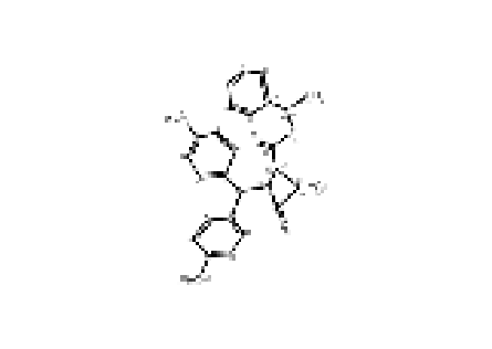 COc1ccc(C(c2ccc(OC)cc2)N2C(=O)[C@@H](C(C)=O)[C@@H]2C(=O)O[C@H](C)c2ccccc2)cc1